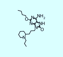 CCCCOc1nc(N)c2[nH]c(=O)n(CCCC3CCCCN3CCC)c2n1